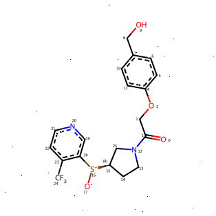 O=C(COc1ccc(CO)cc1)N1CC[C@@H]([S+]([O-])c2cnccc2C(F)(F)F)C1